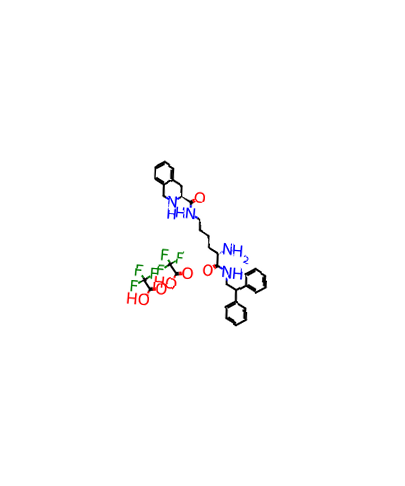 N[C@@H](CCCCNC(=O)[C@@H]1Cc2ccccc2CN1)C(=O)NCC(c1ccccc1)c1ccccc1.O=C(O)C(F)(F)F.O=C(O)C(F)(F)F